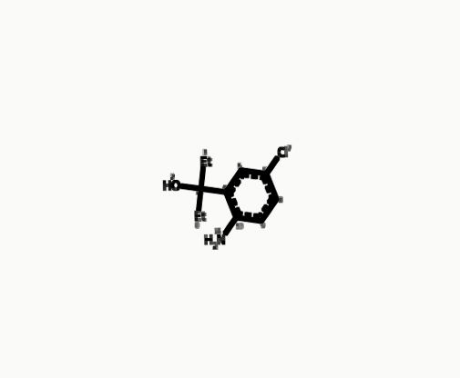 CCC(O)(CC)c1cc(Cl)ccc1N